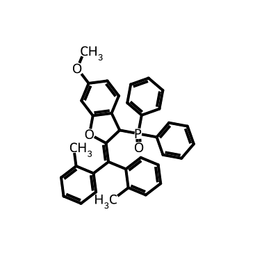 COc1ccc2c(c1)OC(=C(c1ccccc1C)c1ccccc1C)C2P(=O)(c1ccccc1)c1ccccc1